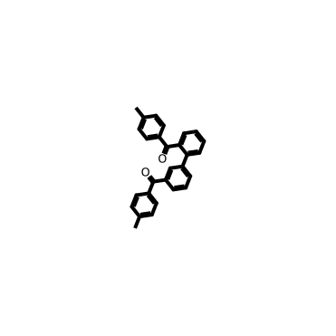 Cc1ccc(C(=O)c2cccc(-c3ccccc3C(=O)c3ccc(C)cc3)c2)cc1